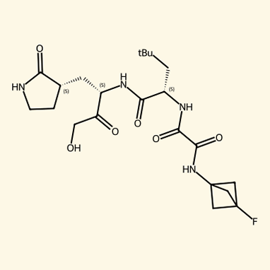 CC(C)(C)C[C@H](NC(=O)C(=O)NC12CC(F)(C1)C2)C(=O)N[C@@H](C[C@@H]1CCNC1=O)C(=O)CO